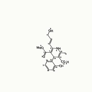 COC(=O)C1=C(/C=C/CO)NC(C)=C(C(=O)O)C1c1ccccc1Cl